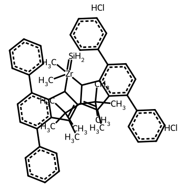 CC1=C(C(C)(C)C)[CH]([Zr]([CH3])([CH3])(=[SiH2])[CH]2C(C(C)(C)C)=C(C)c3c(-c4ccccc4)ccc(-c4ccccc4)c32)c2c(-c3ccccc3)ccc(-c3ccccc3)c21.Cl.Cl